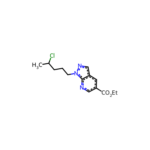 CCOC(=O)c1cnc2c(cnn2CCCC(C)Cl)c1